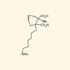 CCCCCCCCCCCCCCCCC1(C(=O)O)CC=CCC1(C(=O)O)C(C)CC